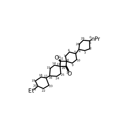 CCCC1CCC(C2CCC3(CC2)C(=O)C2(CCC(C4CCC(CC)CC4)CC2)C3=O)CC1